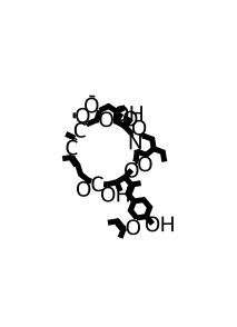 CC=C(C)OC1CC(C=C(C)C2OC(=O)C3CC(CC)CCN3C(=O)C(=O)C3(O)OC(C(OC)CC(C)C/C(C)=C/CC(=O)CC(O)C2C)C(OC)CC3C)CCC1O